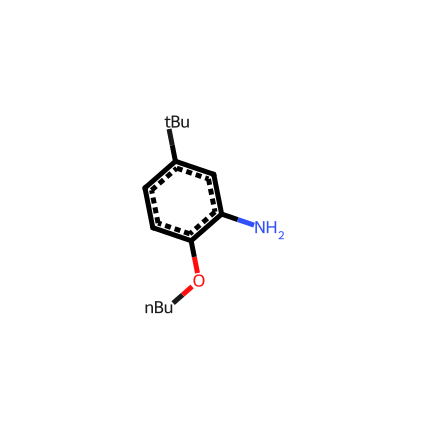 CCCCOc1ccc(C(C)(C)C)cc1N